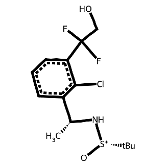 C[C@@H](N[S@@+]([O-])C(C)(C)C)c1cccc(C(F)(F)CO)c1Cl